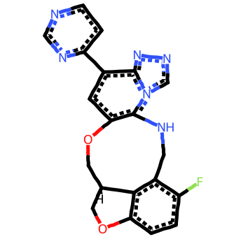 Fc1ccc2c3c1CNc1c(cc(-c4ccncn4)c4nncn14)OC[C@@H]3CO2